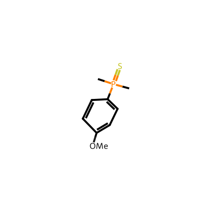 COc1ccc(P(C)(C)=S)cc1